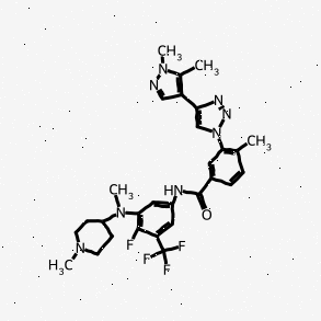 Cc1ccc(C(=O)Nc2cc(N(C)C3CCN(C)CC3)c(F)c(C(F)(F)F)c2)cc1-n1cc(-c2cnn(C)c2C)nn1